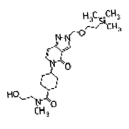 CN(CCO)C(=O)[C@H]1CC[C@@H](n2ccc3nn(COCC[Si](C)(C)C)cc3c2=O)CC1